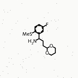 CSc1ccc(F)cc1C(N)CCC1OCCCO1